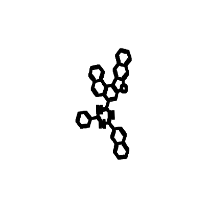 c1ccc(-c2nc(-c3ccc4ccccc4c3)nc(-c3cc4oc5cc6ccccc6cc5c4c4c3ccc3ccccc34)n2)cc1